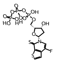 O=P(O)(O)OP(=O)(O)OP(=O)(O)OC[C@H]1O[C@@H](n2cc(F)c3ccsc3c2=S)C[C@H]1O